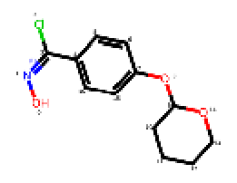 O/N=C(/Cl)c1ccc(OC2CCCCO2)cc1